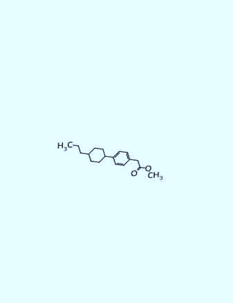 CCCC1CCC(c2ccc(CC(=O)OC)cc2)CC1